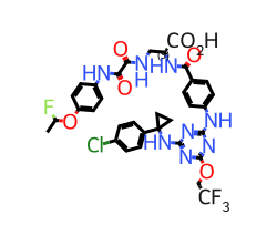 CC(F)Oc1ccc(NC(=O)C(=O)NC[C@H](NC(=O)c2ccc(Nc3nc(NC4(c5ccc(Cl)cc5)CC4)nc(OCC(F)(F)F)n3)cc2)C(=O)O)cc1